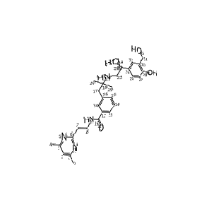 Cc1cc(C)nc(CCNC(=O)c2cccc(CC(C)(C)NC[C@@H](O)c3ccc(O)c(CO)c3)c2)n1